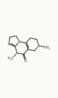 CN1CCC2=C(C1)C(=O)N(C)C1=NCCN12